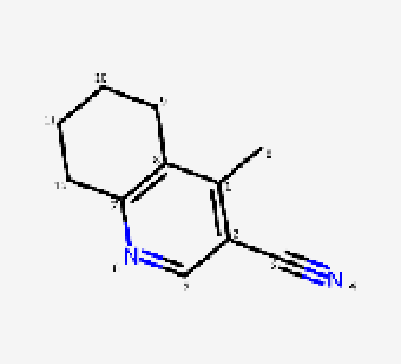 Cc1c(C#N)cnc2c1CCCC2